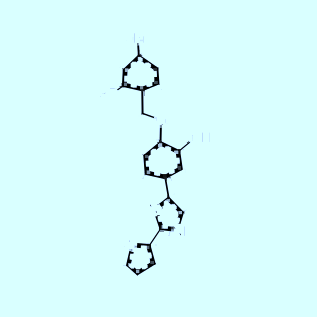 Cc1cc(-c2c[nH]c(-c3cccs3)n2)ccc1OCc1ccc(Br)cc1F